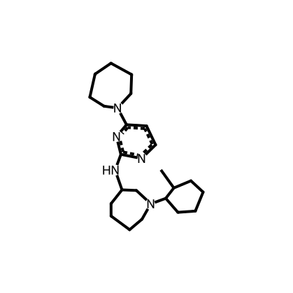 CC1CCCCC1N1CCCCC(Nc2nccc(N3CCCCCC3)n2)C1